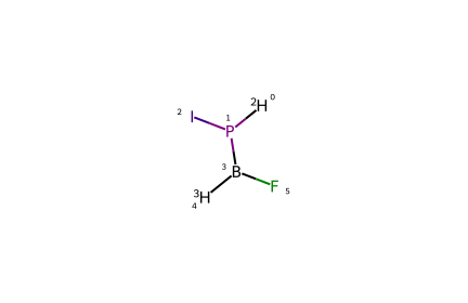 [2H]P(I)B([3H])F